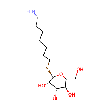 NCCCCCCCS[C@H]1O[C@H](CO)[C@@H](O)[C@H](O)[C@@H]1O